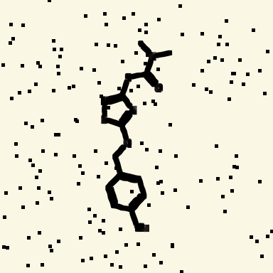 CN(C)C(=O)Sc1nsc(OCc2ccc(C(C)(C)C)cc2)n1